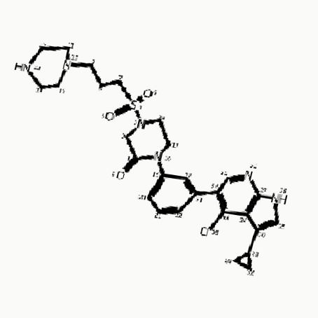 O=C1CN(S(=O)(=O)CCCN2CCNCC2)CCN1c1cccc(-c2cnc3[nH]cc(C4CC4)c3c2Cl)c1